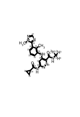 [2H]C([2H])([2H])NC(=O)c1nnc(NC(=O)C2CC2)cc1Nc1cccc(-c2ncnn2C)c1C